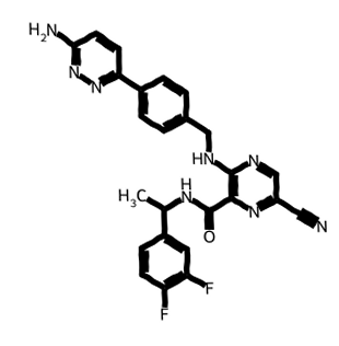 CC(NC(=O)c1nc(C#N)cnc1NCc1ccc(-c2ccc(N)nn2)cc1)c1ccc(F)c(F)c1